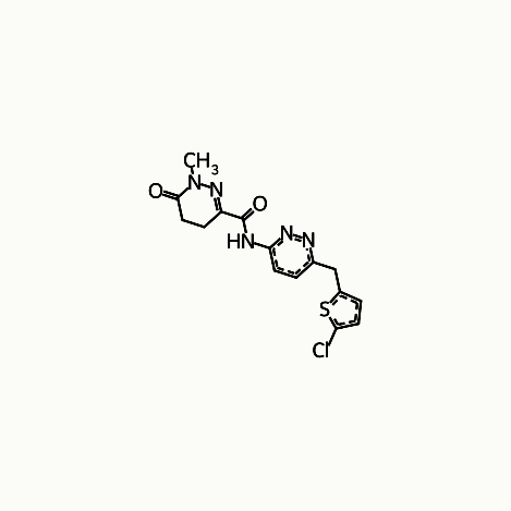 CN1N=C(C(=O)Nc2ccc(Cc3ccc(Cl)s3)nn2)CCC1=O